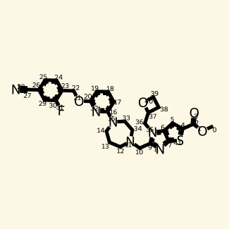 COC(=O)c1cc2c(nc(CN3CCCN(c4cccc(OCc5ccc(C#N)cc5F)n4)CC3)n2CC2CCO2)s1